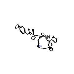 O=C(C[C@H]1C/C=C/CCC(=O)O[C@@H](c2ccccc2)CNC1=O)NCc1ccc(Cl)cc1